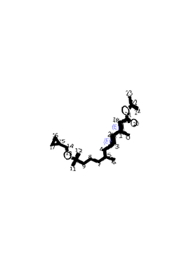 CC(/C=C/CC(C)CCCC(C)(C)OCC1CC1)=C\C(=O)OC(C)C